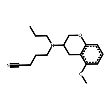 CCCN(CCCC#N)C1COc2cccc(OC)c2C1